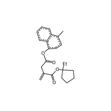 C=C(CC(=O)Oc1ccc(C)c2ccccc12)C(=O)OC1(CC)CCCC1